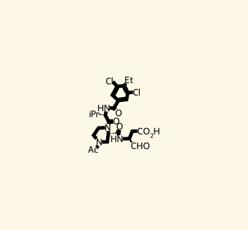 CCc1c(Cl)cc(C(=O)N[C@H](C(=O)N2CCN(C(C)=O)C[C@H]2C(=O)N[C@H](C=O)CC(=O)O)C(C)C)cc1Cl